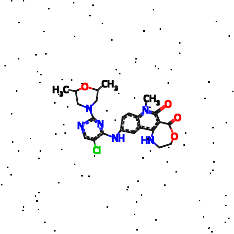 CC1CN(c2ncc(Cl)c(Nc3ccc4c(c3)c3c(c(=O)n4C)C(=O)OCCN3)n2)CC(C)O1